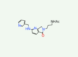 CC(=O)NCCCN1Cc2nc(NCc3cccnc3)ccc2C1=O